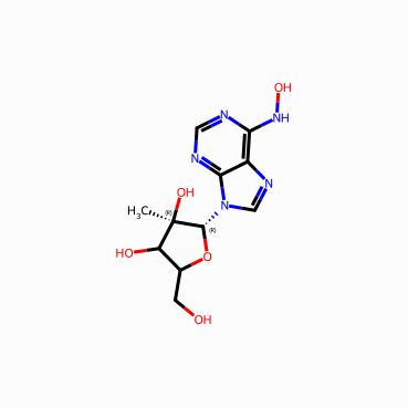 C[C@@]1(O)C(O)C(CO)O[C@H]1n1cnc2c(NO)ncnc21